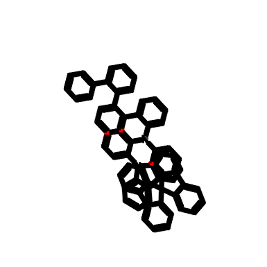 c1ccc(-c2ccccc2-c2ccccc2-c2ccccc2N(c2ccc3c(c2)C2(c4ccccc4-c4ccccc42)c2ccccc2-3)c2ccccc2-n2c3ccccc3c3ccccc32)cc1